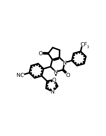 CN1C(=O)N(c2cccc(C(F)(F)F)c2)C2=C(C(=O)CC2)C1c1ccc(C#N)cc1-c1cnco1